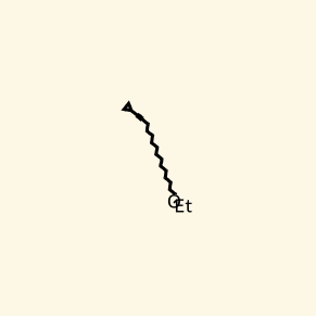 CCOCCCCCCCCCCCCCC#CC1CC1